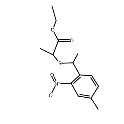 CCOC(=O)C(C)SC(C)c1ccc(C)cc1[N+](=O)[O-]